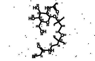 CC(=O)NC1C(OC(C)(C)CCOC(C)(C)CCNC(=O)CBr)OC(CO)C(O)C1O